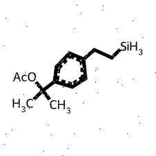 CC(=O)OC(C)(C)c1ccc(CC[SiH3])cc1